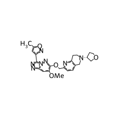 COc1cc2nnc(-c3cc(C)on3)n2nc1OCc1ccc2c(n1)CCN([C@@H]1CCOC1)C2